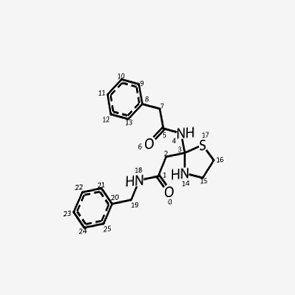 O=C(CC1(NC(=O)Cc2ccccc2)NCCS1)NCc1ccccc1